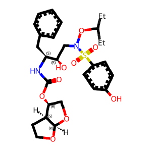 CCC(CC)ON(C[C@@H](O)[C@H](Cc1ccccc1)NC(=O)O[C@H]1CO[C@H]2OCC[C@H]21)S(=O)(=O)c1ccc(O)cc1